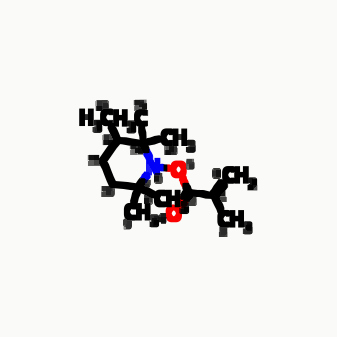 C=C(C)C(=O)ON1C(C)(C)CCC(C)C1(C)C